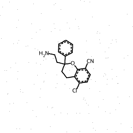 N#Cc1ccc(Cl)c2c1OC(CCN)(c1ccccc1)CC2